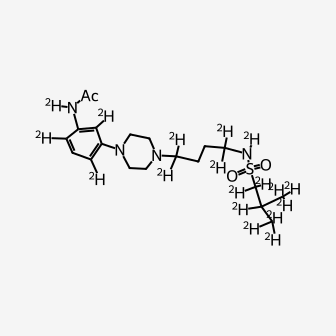 [2H]c1cc([2H])c(N([2H])C(C)=O)c([2H])c1N1CCN(C([2H])([2H])CCC([2H])([2H])N([2H])S(=O)(=O)C([2H])([2H])C([2H])(C([2H])([2H])[2H])C([2H])([2H])[2H])CC1